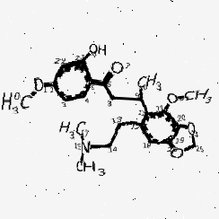 COc1ccc(C(=O)CC(C)c2c(CCN(C)C)cc3c(c2OC)OCO3)c(O)c1